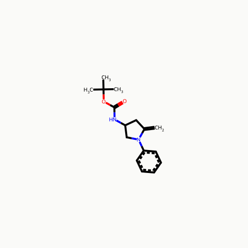 C=C1CC(NC(=O)OC(C)(C)C)CN1c1ccccc1